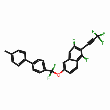 Cc1ccc(-c2ccc(C(F)(F)Oc3ccc4c(F)c(C#CC(F)(F)F)c(F)cc4c3)cc2)cc1